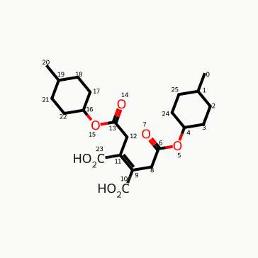 CC1CCC(OC(=O)CC(C(=O)O)=C(CC(=O)OC2CCC(C)CC2)C(=O)O)CC1